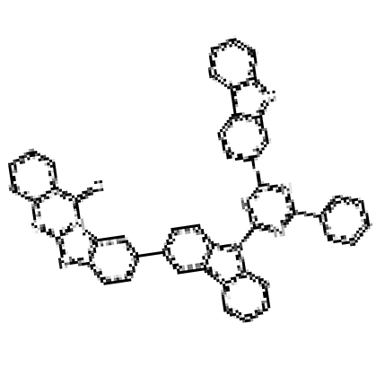 O=c1c2ccccc2sc2nc3ccc(-c4ccc5c(c4)c4ccccc4n5-c4nc(-c5ccccc5)nc(-c5ccc6c(c5)oc5ccccc56)n4)cc3n12